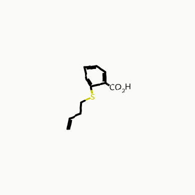 C=CCCSc1ccccc1C(=O)O